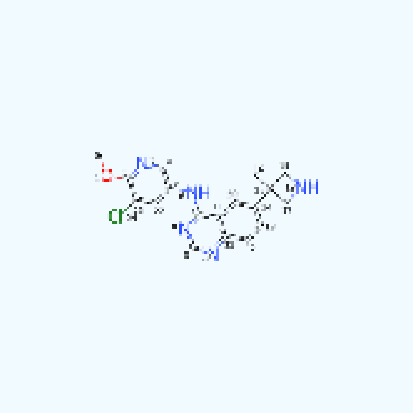 COc1ncc(Nc2ncnc3ccc(C4(C)CNC4)cc23)cc1Cl